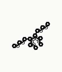 c1ccc(Oc2cccc(Oc3cccc(-c4ccc(Oc5ccc(-c6cccc(Oc7cccc(Oc8ccccc8)c7)c6)cc5Oc5ccccc5Oc5ccccc5)c(Oc5ccccc5Oc5ccccc5)c4)c3)c2)cc1